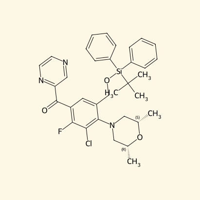 C[C@@H]1CN(c2c(CO[Si](c3ccccc3)(c3ccccc3)C(C)(C)C)cc(C(=O)c3cnccn3)c(F)c2Cl)C[C@H](C)O1